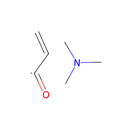 C=C[C]=O.CN(C)C